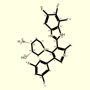 Cc1ncc(-c2cc(F)cc(F)c2)c(N2CC[C@@H](N)[C@@H](O)C2)c1-c1nc2cc(F)c(F)c(F)c2[nH]1